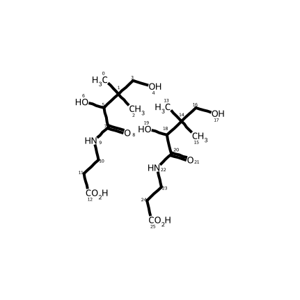 CC(C)(CO)C(O)C(=O)NCCC(=O)O.CC(C)(CO)C(O)C(=O)NCCC(=O)O